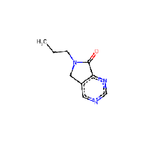 CCCN1Cc2cncnc2C1=O